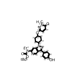 CCN(C(=O)OC(C)(C)C)c1cc2c(cn1)c(-c1ccc(O)cc1)nn2C1CCC(Oc2ccc(=O)n(C)n2)CC1